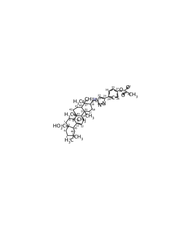 CC1(C)CC[C@]2(C(=O)O)CC[C@]3(C)C(=CCC4[C@@]5(C)CCC(/C=[N+]6/C=C(c7ccc(OS(C)(=O)=O)cc7)N=N6)C(C)(C)C5CC[C@]43C)C2C1